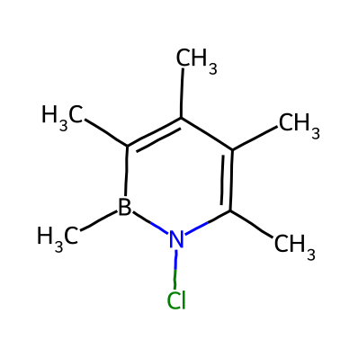 CB1C(C)=C(C)C(C)=C(C)N1Cl